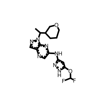 CC(C1CCCOC1)n1ncc2ncc(Nc3cc(OC(F)F)[nH]n3)nc21